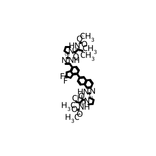 COC(=O)N[C@H](C(=O)N1CCC[C@H]1c1nc2ccc3cc(-c4ccc(-c5cnc([C@@H]6CCCN6C(=O)[C@H](NC(=O)OC)C(C)C)[nH]5)c5c4CC(F)(F)C5)ccc3c2[nH]1)C(C)C